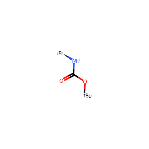 [CH2][C@H](C)NC(=O)OC(C)(C)C